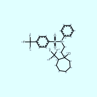 O=S(=O)(c1ccc(C(F)(F)F)cc1)N(CCC1(Cl)CCCCCC1C(F)(F)F)c1ccccc1